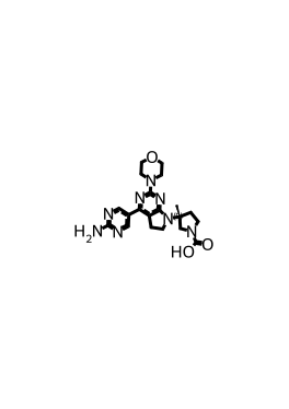 C[C@@]1(N2CCc3c(-c4cnc(N)nc4)nc(N4CCOCC4)nc32)CCN(C(=O)O)C1